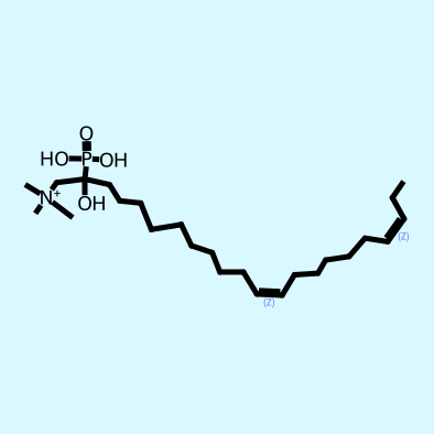 CC/C=C\CCCCC/C=C\CCCCCCCCCC(O)(C[N+](C)(C)C)P(=O)(O)O